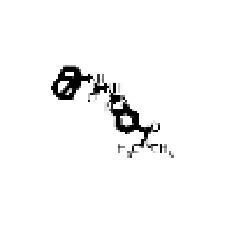 CN(C)C(=O)c1ccc2nc(NC(=O)NC3C4CC5CC(C4)CC3C5)sc2c1